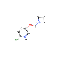 Clc1ccc(OCN2CCC2)cn1